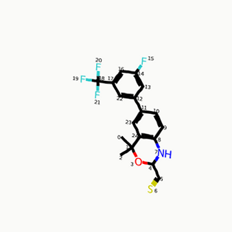 CC1(C)OC(C=S)Nc2ccc(-c3cc(F)cc(C(F)(F)F)c3)cc21